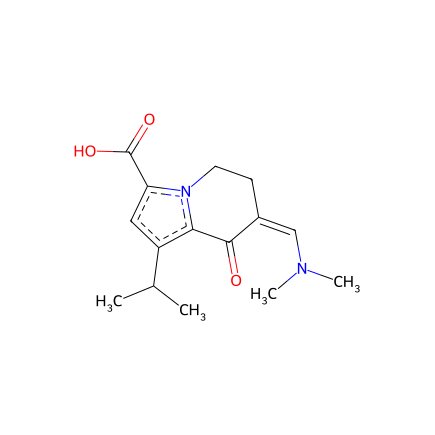 CC(C)c1cc(C(=O)O)n2c1C(=O)C(=CN(C)C)CC2